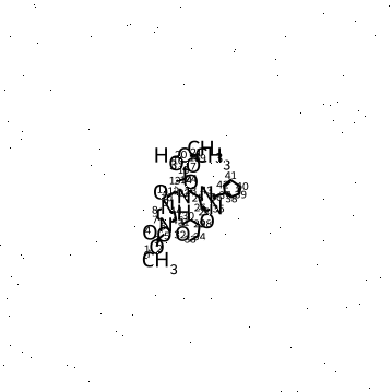 CCOC(=O)ON1CCN(C(=O)[C@H](CCC(=O)OC(C)(C)C)NC(=O)c2cc(OC3CCOCC3)nc(-c3ccccc3)n2)CC1